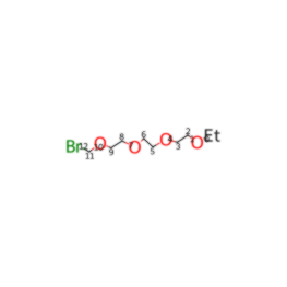 CCOCCOCCOCCOCBr